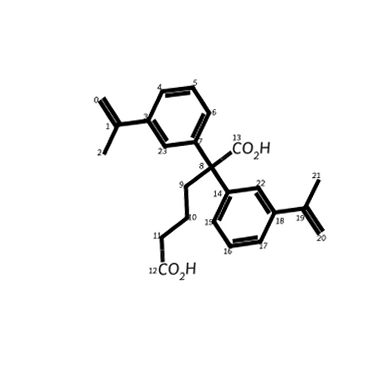 C=C(C)c1cccc(C(CCCC(=O)O)(C(=O)O)c2cccc(C(=C)C)c2)c1